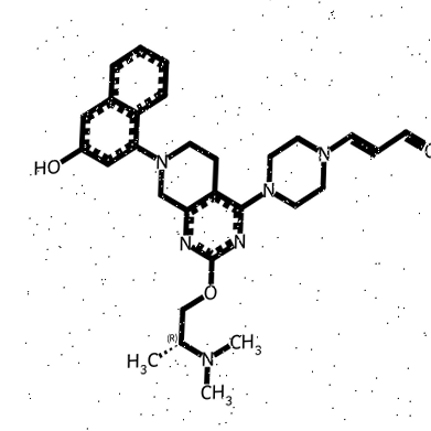 C[C@H](COc1nc2c(c(N3CCN(C=CC=O)CC3)n1)CCN(c1cc(O)cc3ccccc13)C2)N(C)C